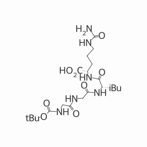 CCC(C)[C@H](NC(=O)CNC(=O)CNC(=O)OC(C)(C)C)C(=O)N[C@@H](CCCNC(N)=O)C(=O)O